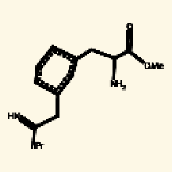 CCCC(=N)Cc1cccc(CC(N)C(=O)OC)c1